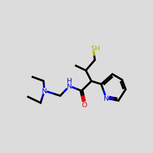 CCN(CC)CNC(=O)C(c1ccccn1)C(C)CS